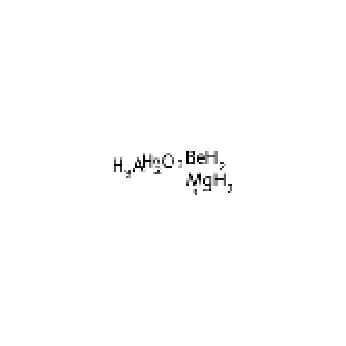 O.[AlH3].[BeH2].[MgH2]